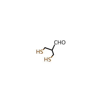 O=CC(CS)CS